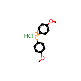 COc1ccc(Pc2ccc(OC)cc2)cc1.Cl